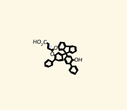 O=C(O)/C=C/C(=O)Oc1cc(C2(c3ccc(-c4ccccc4)c(O)c3)c3ccccc3-c3ccccc32)ccc1-c1ccccc1